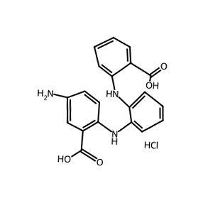 Cl.Nc1ccc(Nc2ccccc2Nc2ccccc2C(=O)O)c(C(=O)O)c1